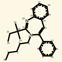 CCCCCN1C(c2ccccc2)=Cc2ccccc2N=C1C(C)(C)CC